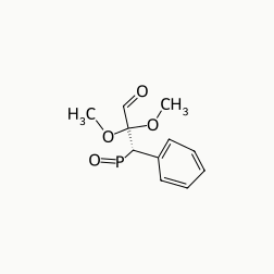 COC(C=O)(OC)[C@@H](P=O)c1ccccc1